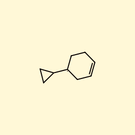 C1=CC[C](C2CC2)CC1